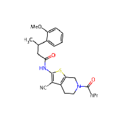 CCCC(=O)N1CCc2c(sc(NC(=O)CC(C)c3ccccc3OC)c2C#N)C1